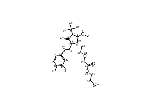 COC1C(C(F)(F)F)C(=O)[C@H](CSc2ccc(C)c(C)c2)[C@H]1CCOCC(=O)OCCO